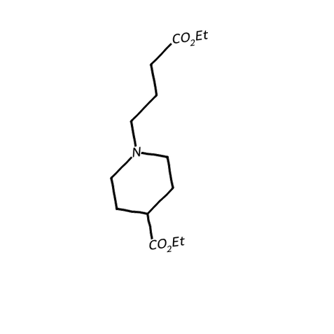 CCOC(=O)CCCN1CCC(C(=O)OCC)CC1